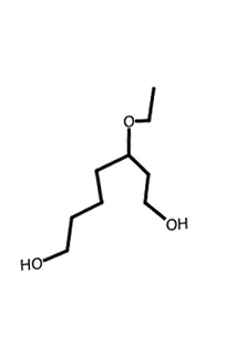 CCOC(CCO)CCCCO